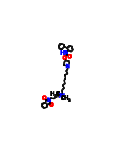 C[N+](C)(CCCCCCCCCCCN1CCC(OC(=O)Nc2ccccc2-c2ccccc2)CC1)CCCCN1C(=O)c2ccccc2C1=O